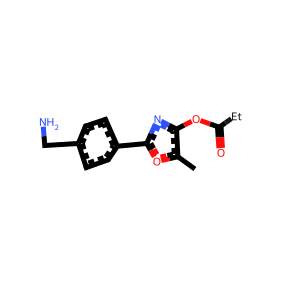 CCC(=O)Oc1nc(-c2ccc(CN)cc2)oc1C